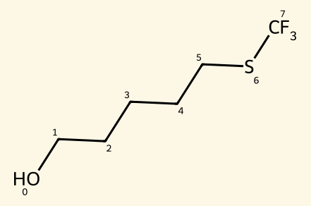 OCCCCCSC(F)(F)F